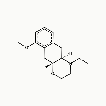 CCN1CCO[C@@H]2Cc3c(cccc3OC)C[C@H]21